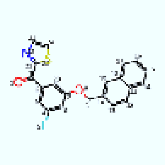 O=C(c1cc(F)cc(OCc2ccc3ccccc3c2)c1)c1nccs1